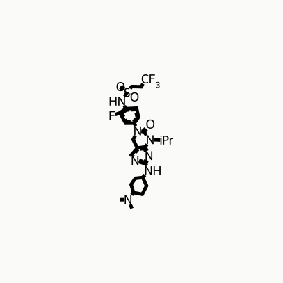 CC(C)N1C(=O)N(c2ccc(NS(=O)(=O)CCC(F)(F)F)c(F)c2)Cc2cnc(NC3CCC(N(C)C)CC3)nc21